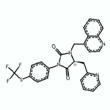 O=C1[C@H](Cc2ccccn2)N(Cc2ccnc3ccccc23)C(=O)N1c1ccc(SC(F)(F)F)cc1